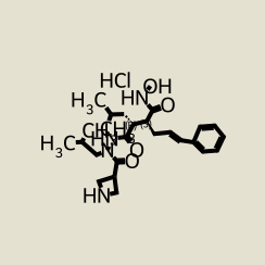 CC(C)C[C@@H](C(=O)NN(CC(C)C)C(=O)C1CNC1)[C@H](CC=Cc1ccccc1)C(=O)NO.Cl